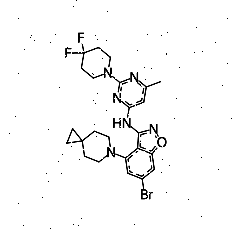 Cc1cc(Nc2noc3cc(Br)cc(N4CCC5(CC4)CC5)c23)nc(N2CCC(F)(F)CC2)n1